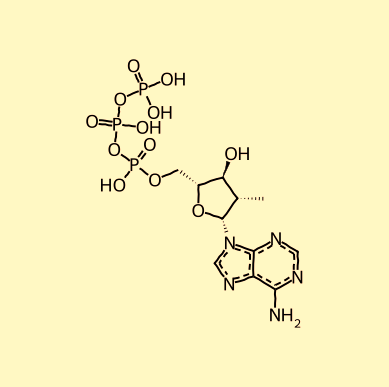 C[C@H]1[C@H](O)[C@@H](COP(=O)(O)OP(=O)(O)OP(=O)(O)O)O[C@H]1n1cnc2c(N)ncnc21